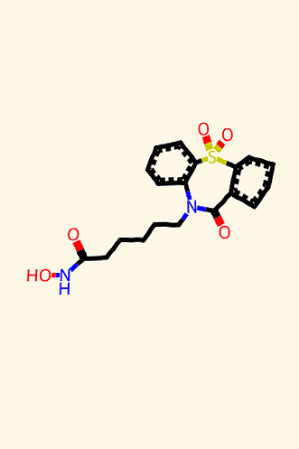 O=C(CCCCCN1C(=O)c2ccccc2S(=O)(=O)c2ccccc21)NO